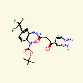 CC(C)(C)OC(=O)Nc1ccc(C(F)(F)F)cc1NC(=O)CC(=O)C(/C=C\N)=C/N